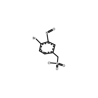 O=Nc1cc(CS(=O)(=O)Cl)ccc1Br